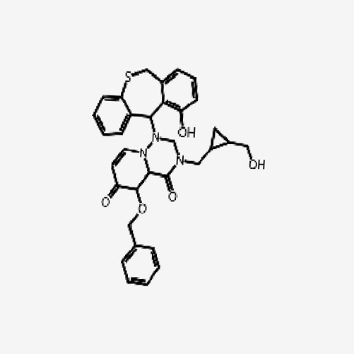 O=C1C=CN2C(C(=O)N(CC3CC3CO)CN2C2c3ccccc3SCc3cccc(O)c32)C1OCc1ccccc1